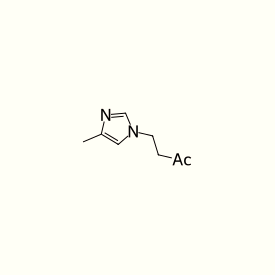 CC(=O)CCn1cnc(C)c1